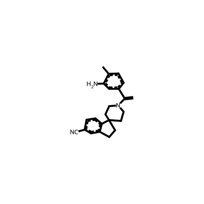 C=C(c1ccc(C)c(N)c1)N1CCC2(CCc3cc(C#N)ccc32)CC1